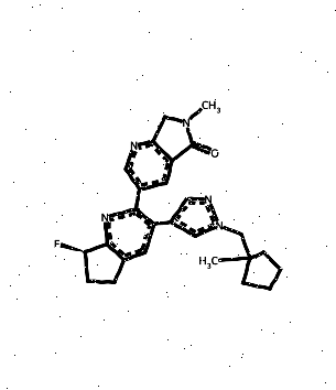 CN1Cc2ncc(-c3nc4c(cc3-c3cnn(CC5(C)CCCC5)c3)CC[C@H]4F)cc2C1=O